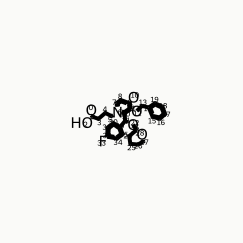 O=C(O)CCCn1ccc(=O)c(OCc2ccccc2)c1C(OC1CCCCO1)c1ccc(F)cc1